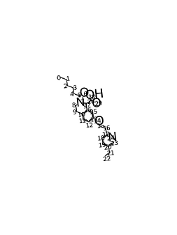 CCCCCC(=O)N1CCc2ccc(OCCc3ccc(CC)cn3)cc2C1C(=O)O